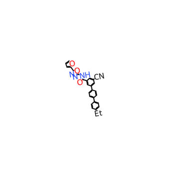 CCc1ccc(-c2ccc(-c3cc(C#N)cc(C(=O)Nc4nnc(-c5ccco5)o4)c3)cc2)cc1